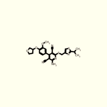 COc1cc(-c2c(C#N)c(N)nc(SCc3csc(C(C)C)n3)c2C#N)ccc1OC1CCOC1